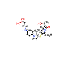 CC(O)[C@H]1C(=O)N2C(C(=O)O)=C(S[C@@H]3CCN(C4CCC(NCCCB(O)O)CC4)C3)[C@H](C)[C@H]12